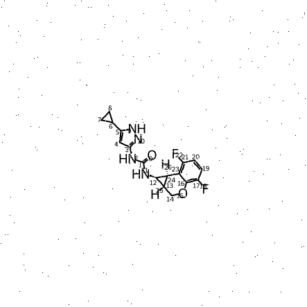 O=C(Nc1cc(C2CC2)[nH]n1)N[C@@H]1[C@H]2COc3c(F)ccc(F)c3[C@@H]21